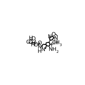 Cc1c(-c2cc3cc(NC(=O)O[C@@H]4CO[C@H]5COC[C@H]54)ncc3c(N)c2F)cnc2c1NCCO2